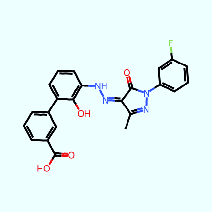 CC1=NN(c2cccc(F)c2)C(=O)C1=NNc1cccc(-c2cccc(C(=O)O)c2)c1O